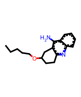 CCCCCOC1CCc2nc3ccccc3c(N)c2C1